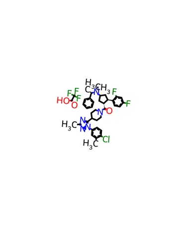 Cc1nc(C2CCN(C(=O)[C@@H]3CC(N(C)[C@H](C)c4ccccc4)C[C@H]3c3ccc(F)cc3F)CC2)n(-c2ccc(Cl)c(C)c2)n1.O=C(O)C(F)(F)F